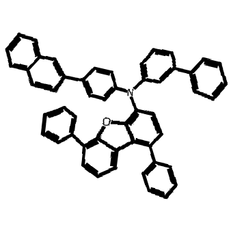 c1ccc(-c2cccc(N(c3ccc(-c4ccc5ccccc5c4)cc3)c3ccc(-c4ccccc4)c4c3oc3c(-c5ccccc5)cccc34)c2)cc1